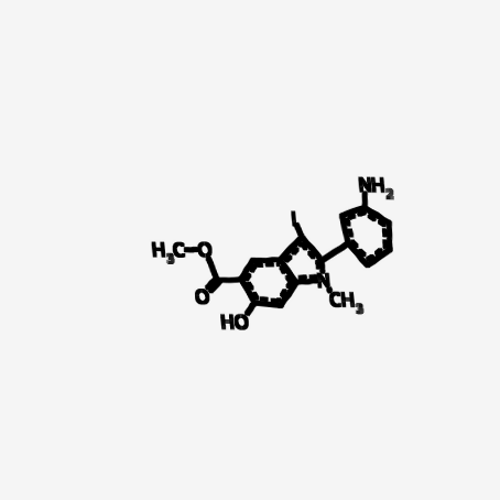 COC(=O)c1cc2c(I)c(-c3cccc(N)c3)n(C)c2cc1O